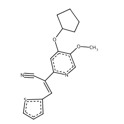 COc1cnc(/C(C#N)=C/c2cccs2)cc1OC1CCCC1